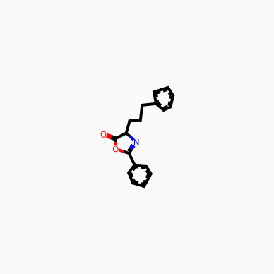 O=C1OC(c2ccccc2)=NC1CCCc1ccccc1